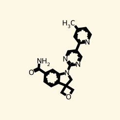 Cc1ccnc(-c2cnc(N3CC4(COC4)c4ccc(C(N)=O)cc43)nc2)c1